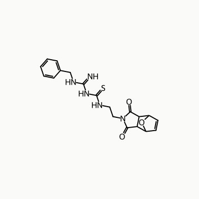 N=C(NCc1ccccc1)NC(=S)NCCN1C(=O)C2C3C=CC(O3)C2C1=O